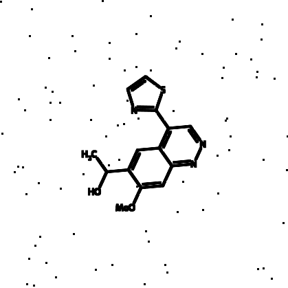 COc1cc2nncc(-c3nccs3)c2cc1C(C)O